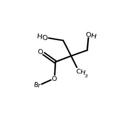 CC(CO)(CO)C(=O)OBr